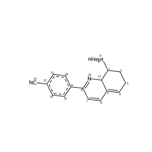 CCCCCCCC1CCC=C2C=CC(c3ccc(C#N)cc3)=NC21